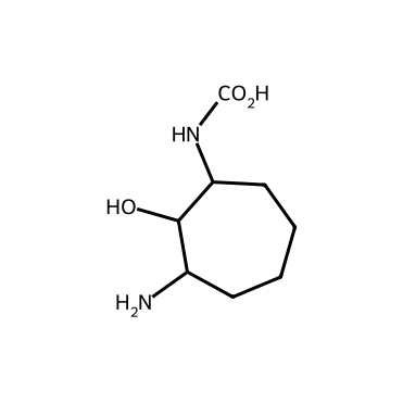 NC1CCCCC(NC(=O)O)C1O